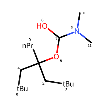 CCCC(CC(C)(C)C)(CC(C)(C)C)OC(O)N(C)C